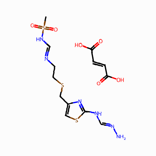 CS(=O)(=O)NC=NCCSCc1csc(NC=NN)n1.O=C(O)C=CC(=O)O